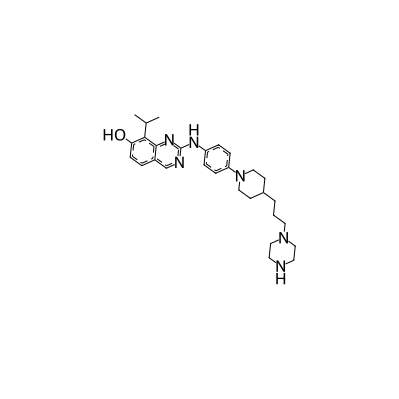 CC(C)c1c(O)ccc2cnc(Nc3ccc(N4CCC(CCCN5CCNCC5)CC4)cc3)nc12